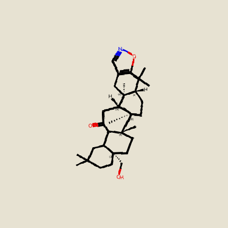 CC1(C)CC[C@]2(CO)CC[C@]3(C)C(C(=O)C[C@@H]4[C@@]5(C)Cc6cnoc6C(C)(C)[C@@H]5CC[C@]43C)C2C1